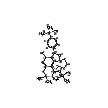 CC(C)C1N=C2CC(C)(C)C[C@H](O[Si](C)(C)C(C)(C)C)C2=C2C1[C@@H](c1ccc(C(C)(C)C#N)cc1)OC21CCCC1I